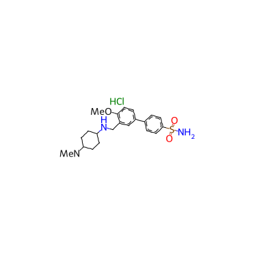 CNC1CCC(NCc2cc(-c3ccc(S(N)(=O)=O)cc3)ccc2OC)CC1.Cl